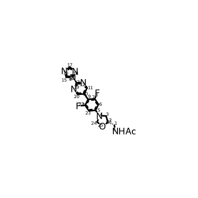 CC(=O)NC[C@H]1CN(c2cc(F)c(-c3cnc(-n4cncn4)nc3)c(F)c2)CO1